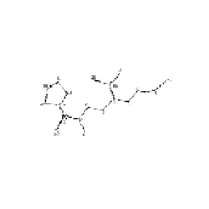 CCCCC(CCC(C)N(C)C1CCCC1)C(C)C